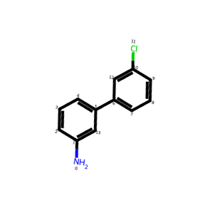 Nc1[c]ccc(-c2cccc(Cl)c2)c1